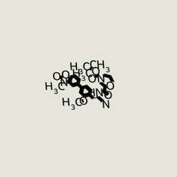 COc1cc(-c2ccc3oc(=O)n(C)c3c2)ccc1C[C@@H](C#N)NC(=O)C1CN(C(=O)OC(C)(C)C)CCCO1